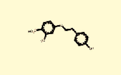 O=C(O)c1ccc(OCCc2ccc(O)cc2)cc1O